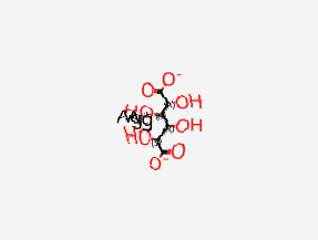 O=C([O-])[C@@H](O)[C@H](O)[C@H](O)[C@@H](O)C(=O)[O-].[Ag+].[Ag+]